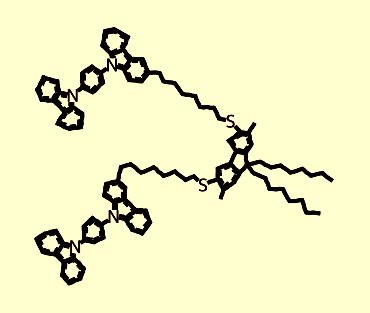 CCCCCCCCC1(CCCCCCCC)c2cc(C)c(SCCCCCCCCc3ccc4c(c3)c3ccccc3n4-c3ccc(-n4c5ccccc5c5ccccc54)cc3)cc2-c2cc(SCCCCCCCCc3ccc4c(c3)c3ccccc3n4-c3ccc(-n4c5ccccc5c5ccccc54)cc3)c(C)cc21